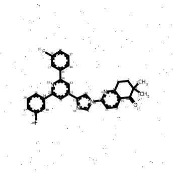 CC1(C)CCc2nc(-n3cnc(-c4cc(-c5cccc(F)c5)nc(-c5cccc(F)c5)c4)c3)ccc2C1=O